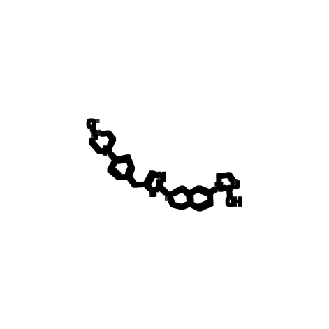 [O-][S+]1CCN(c2ccc(Cc3cnc(N4CCc5ccc(N6CCOC6O)cc5C4)s3)cc2)CC1